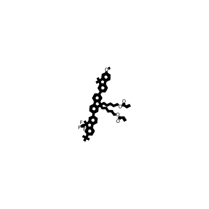 C=CC(=O)OCCCCCC1(CCCCCOC(=O)C=C)c2cc(-c3ccc4c(c3)C(C)(C)c3cc(OC)ccc3-4)ccc2-c2ccc(-c3ccc4c(c3)C(C)(C(F)(F)F)c3cc(C(C)(C)C)ccc3-4)cc21